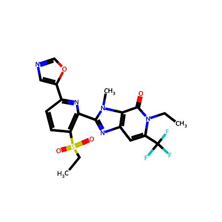 CCn1c(C(F)(F)F)cc2nc(-c3nc(-c4cnco4)ccc3S(=O)(=O)CC)n(C)c2c1=O